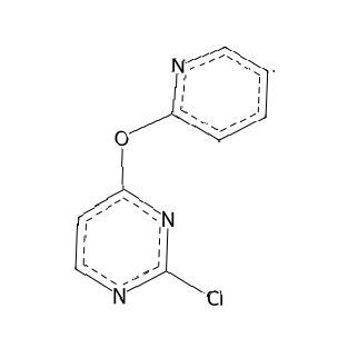 Clc1nccc(Oc2cc[c]cn2)n1